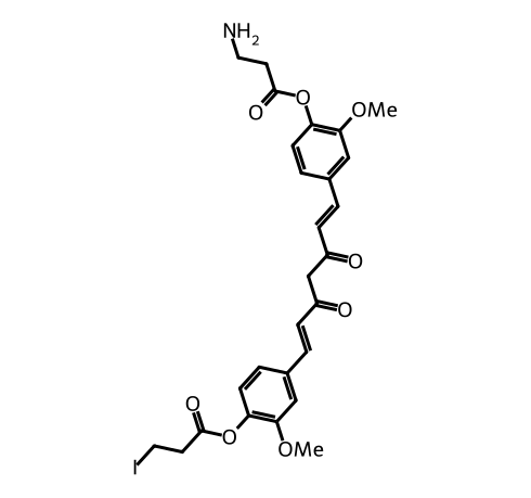 COc1cc(/C=C/C(=O)CC(=O)/C=C/c2ccc(OC(=O)CCI)c(OC)c2)ccc1OC(=O)CCN